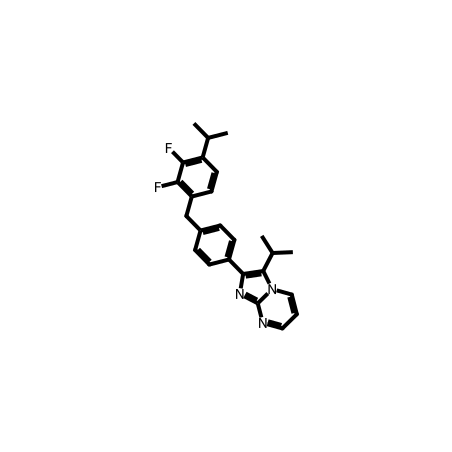 CC(C)c1ccc(Cc2ccc(-c3nc4ncccn4c3C(C)C)cc2)c(F)c1F